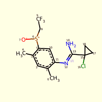 Cc1cc(C)c([S+]([O-])CC(F)(F)F)cc1/N=C(\N)C1(Cl)CC1